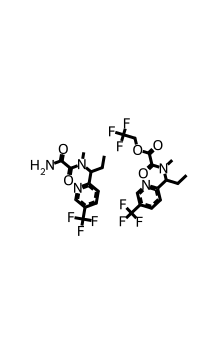 CCC(c1ccc(C(F)(F)F)cn1)N(C)C(=O)C(=O)OCC(F)(F)F.CCC(c1ccc(C(F)(F)F)cn1)N(C)C(=O)C(N)=O